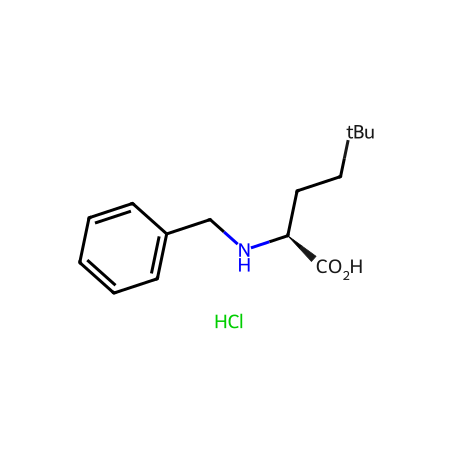 CC(C)(C)CC[C@H](NCc1ccccc1)C(=O)O.Cl